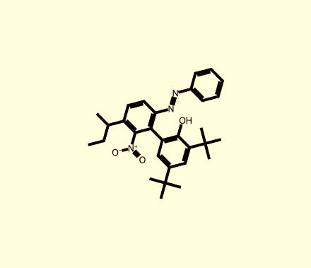 CCC(C)c1ccc(N=Nc2ccccc2)c(-c2cc(C(C)(C)C)cc(C(C)(C)C)c2O)c1[N+](=O)[O-]